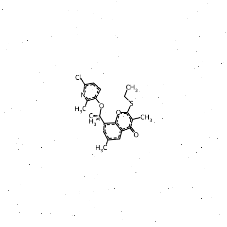 CCSc1oc2c([C@@H](C)Oc3ccc(Cl)nc3C)cc(C)cc2c(=O)c1C